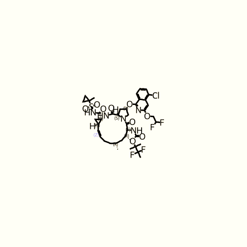 C[C@@H]1CC/C=C\[C@@H]2C[C@@]2(C(=O)NS(=O)(=O)C2(C)CC2)NC(=O)[C@@H]2C[C@@H](Oc3nc(OCC(F)F)cc4c(Cl)cccc34)CN2C(=O)[C@@H](NC(=O)OC(C)(C)C(C)(F)F)[C@H](C)C1